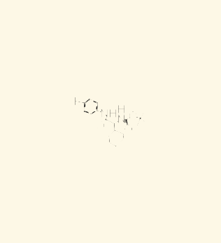 CC(C)(C)OC(=O)N[C@H](C(=O)Nc1ccc(I)cc1)C1CCCCC1